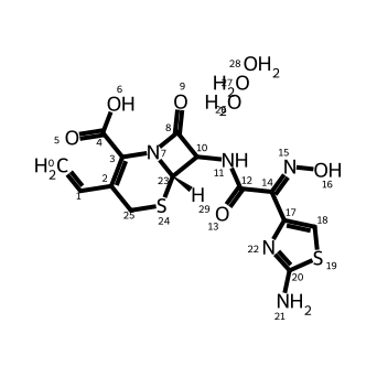 C=CC1=C(C(=O)O)N2C(=O)C(NC(=O)C(=NO)c3csc(N)n3)[C@@H]2SC1.O.O.O